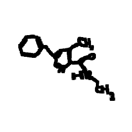 CCNC(=O)c1ncc(-c2ccccc2)cc1C